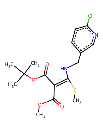 COC(=O)/C(C(=O)OC(C)(C)C)=C(/NCc1ccc(Cl)nc1)SC